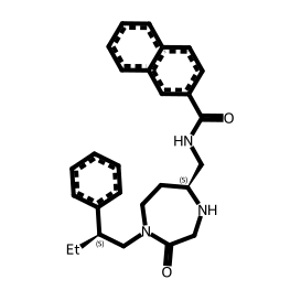 CC[C@H](CN1CC[C@@H](CNC(=O)c2ccc3ccccc3c2)NCC1=O)c1ccccc1